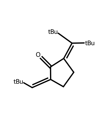 CC(C)(C)C=C1CCC(=C(C(C)(C)C)C(C)(C)C)C1=O